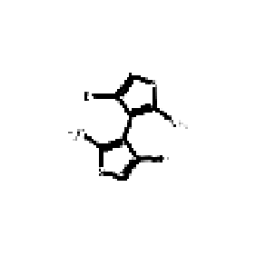 Cc1scc(Br)c1-c1c(Br)csc1C